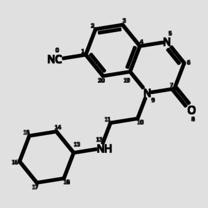 N#Cc1ccc2ncc(=O)n(CCNC3CCCCC3)c2c1